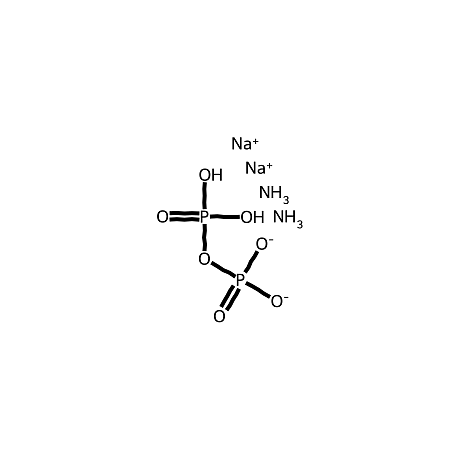 N.N.O=P([O-])([O-])OP(=O)(O)O.[Na+].[Na+]